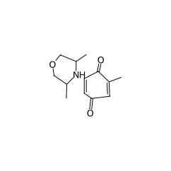 CC1=CC(=O)C=CC1=O.CC1COCC(C)N1